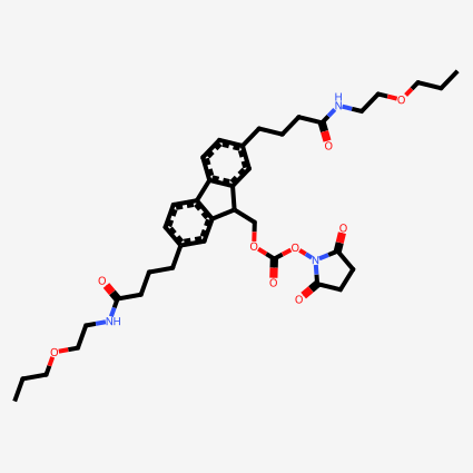 CCCOCCNC(=O)CCCc1ccc2c(c1)C(COC(=O)ON1C(=O)CCC1=O)c1cc(CCCC(=O)NCCOCCC)ccc1-2